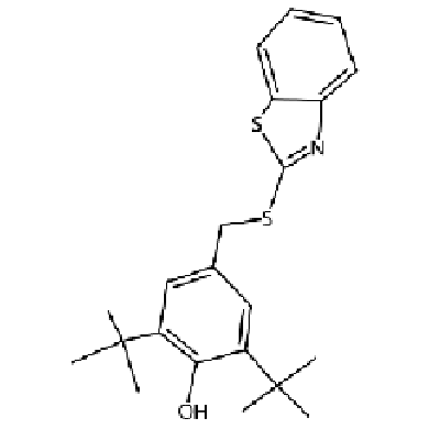 CC(C)(C)c1cc(CSc2nc3ccccc3s2)cc(C(C)(C)C)c1O